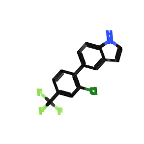 FC(F)(F)c1ccc(-c2ccc3[nH]ccc3c2)c(Cl)c1